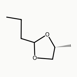 CCCC1OC[C@@H](C)O1